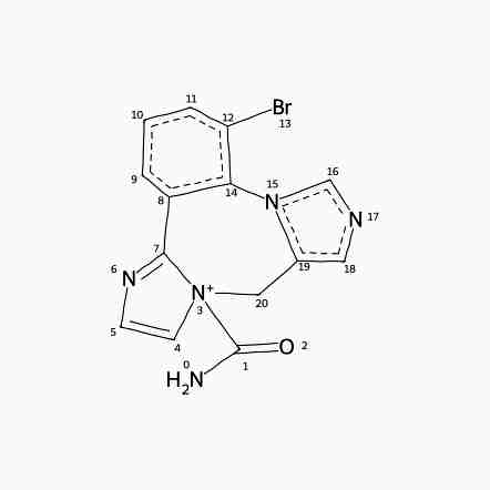 NC(=O)[N+]12C=CN=C1c1cccc(Br)c1-n1cncc1C2